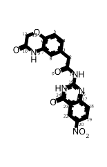 O=C(Cc1ccc2c(c1)NC(=O)CO2)Nc1nc2ccc([N+](=O)[O-])cc2c(=O)[nH]1